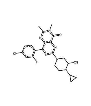 Cc1nc2c(-c3ccc(Cl)cc3F)nc(N3CCN(C4CC4)C(C#N)C3)nc2c(=O)n1C